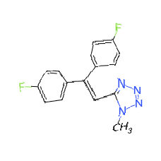 Cn1nnnc1C=C(c1ccc(F)cc1)c1ccc(F)cc1